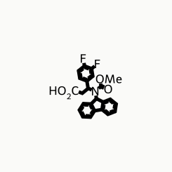 COC(=O)N(C(CC(=O)O)c1ccc(F)c(F)c1)C1c2ccccc2-c2ccccc21